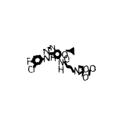 O=C(C=CCN1CCC2(COCC(=O)O2)C1)Nc1cc2c(Nc3ccc(F)c(Cl)c3)ncnc2cc1OCC1CC1